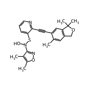 Cc1cc2c(cc1C#Cc1ncccc1SN(O)c1noc(C)c1C)C(C)(C)OC2